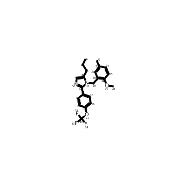 CCCc1cnc(-c2ccc(OC(F)(F)F)cc2)n1Cc1cc(C)ccc1OC